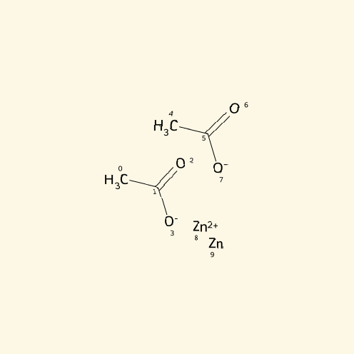 CC(=O)[O-].CC(=O)[O-].[Zn+2].[Zn]